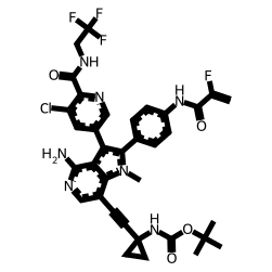 C=C(F)C(=O)Nc1ccc(-c2c(-c3cnc(C(=O)NCC(F)(F)F)c(Cl)c3)c3c(N)ncc(C#CC4(NC(=O)OC(C)(C)C)CC4)c3n2C)cc1